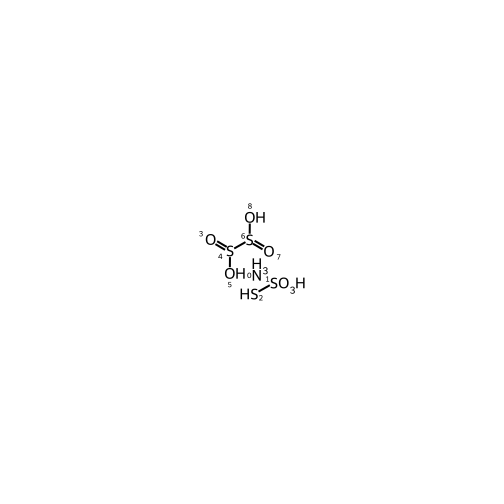 N.O=S(=O)(O)S.O=S(O)S(=O)O